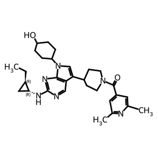 CC[C@@H]1C[C@H]1Nc1ncc2c(C3CCN(C(=O)c4cc(C)nc(C)c4)CC3)cn(C3CCC(O)CC3)c2n1